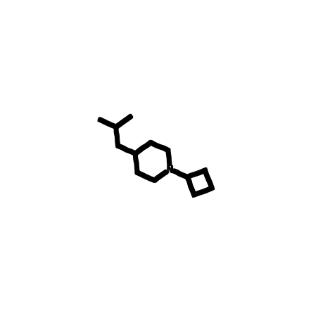 CC(C)CC1CCN(C2CCC2)CC1